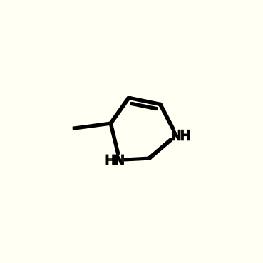 CC1C=CNCN1